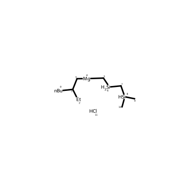 CCCCC(CC)[CH2][Mg][CH2][SiH2]C[SiH](C)C.Cl